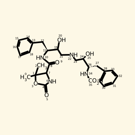 CC1(C)OC(=O)NC1C(=O)N[C@@H](Cc1ccccc1)C(O)CNC[C@@H](O)[C@H](Cc1ccccc1)NC(=O)O